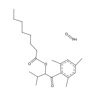 CCCCCCCC(=O)OC(C(=O)c1c(C)cc(C)cc1C)C(C)C.O=P